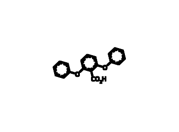 O=C(O)c1c(Oc2ccccc2)cccc1Oc1ccccc1